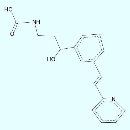 O=C(O)NCCC(O)c1cccc(C=Cc2ccccn2)c1